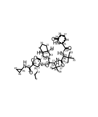 CCC[C@@H](NC(=O)[C@@H]1[C@H]2CCC[C@H]2CN1C(=O)[C@@H](NC(=O)[C@H](NC(=O)c1cccc(=O)[nH]1)C(C)(C)C)C(C)(C)C)C(=O)C(=O)NC1CC1